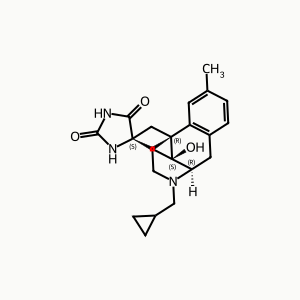 Cc1ccc2c(c1)[C@]13CCN(CC4CC4)[C@H](C2)[C@]1(O)CC[C@@]1(C3)NC(=O)NC1=O